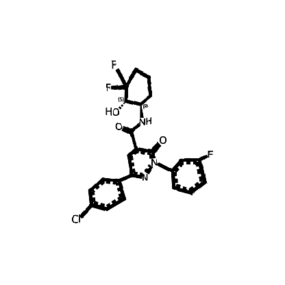 O=C(N[C@@H]1CCCC(F)(F)[C@H]1O)c1cc(-c2ccc(Cl)cc2)nn(-c2cccc(F)c2)c1=O